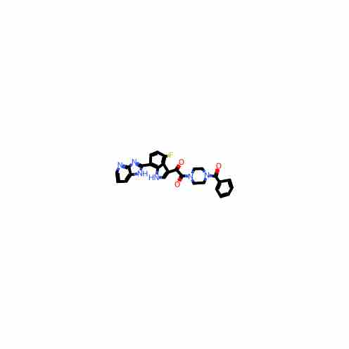 O=C(C(=O)N1CCN(C(=O)c2ccccc2)CC1)c1c[nH]c2c(-c3nc4ncccc4[nH]3)ccc(F)c12